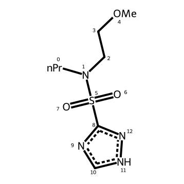 CCCN(CCOC)S(=O)(=O)c1nc[nH]n1